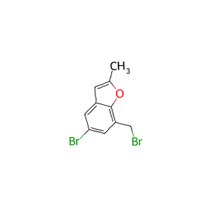 Cc1cc2cc(Br)cc(CBr)c2o1